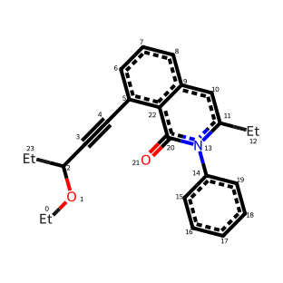 CCOC(C#Cc1cccc2cc(CC)n(-c3ccccc3)c(=O)c12)CC